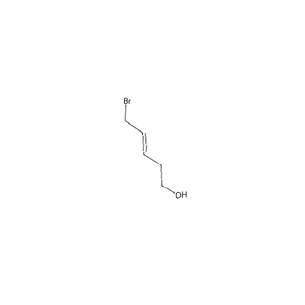 OCC/C=C/CBr